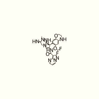 CN(N)C(=N)Cn1cc(NC(=O)c2cnn3cccnc23)c(-c2cc3c(cc2OC(F)F)NCCO3)n1